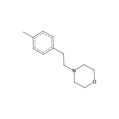 Cc1ccc(CCN2CCOCC2)cc1